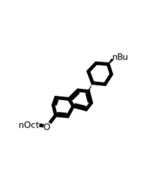 CCCCCCCCOc1ccc2cc([C@H]3CC[C@H](CCCC)CC3)ccc2c1